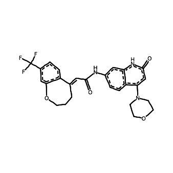 O=C(/C=C1\CCCOc2cc(C(F)(F)F)ccc21)Nc1ccc2c(N3CCOCC3)cc(=O)[nH]c2c1